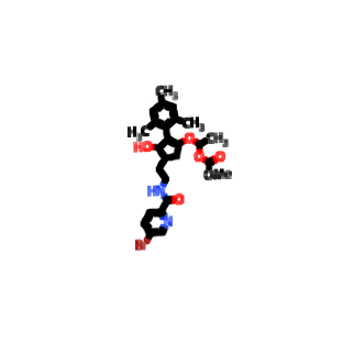 COC(=O)OC(C)OC1=C(c2c(C)cc(C)cc2C)C(O)C(CCNC(=O)c2ccc(Br)cn2)C1